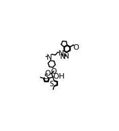 Cc1ccc(C(O)(C(=O)O[C@H]2CC[C@H](N(C)CCCn3nnc4cc(C=O)c5c(c43)CCC5)CC2)c2ccc(C)s2)s1